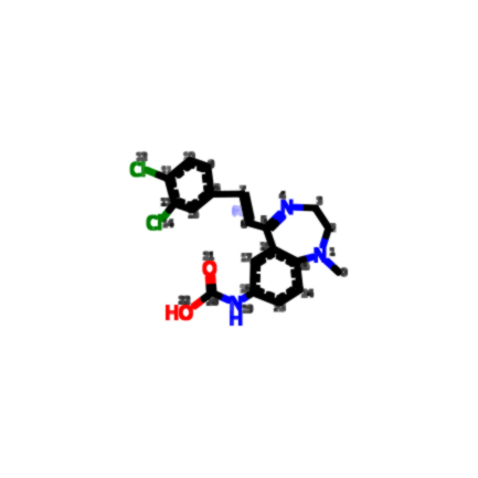 CN1CCN=C(/C=C/c2ccc(Cl)c(Cl)c2)c2cc(NC(=O)O)ccc21